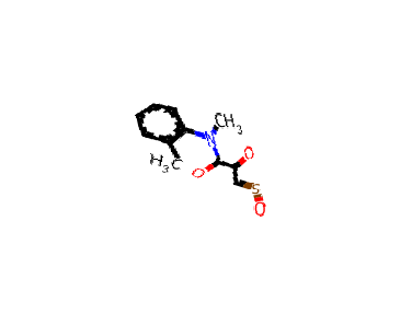 Cc1ccccc1N(C)C(=O)C(=O)C=S=O